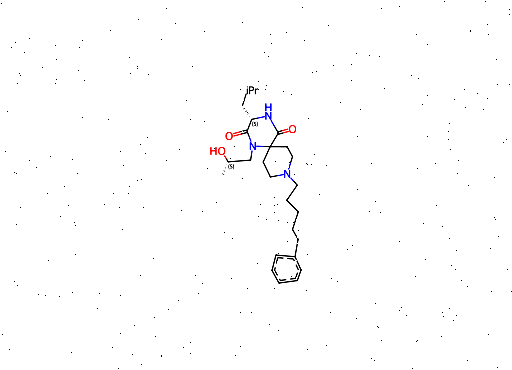 CC(C)C[C@@H]1NC(=O)C2(CCN(CCCCCc3ccccc3)CC2)N(C[C@H](C)O)C1=O